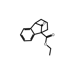 CCOC(=O)C12CCCC(C1=O)c1ccccc12